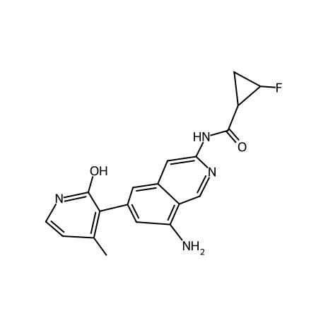 Cc1ccnc(O)c1-c1cc(N)c2cnc(NC(=O)C3CC3F)cc2c1